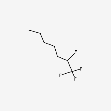 CCCCCC(F)C(F)(F)F